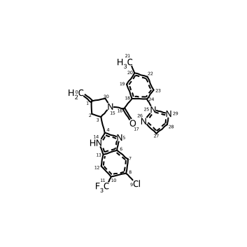 C=C1CC(c2nc3cc(Cl)c(C(F)(F)F)cc3[nH]2)N(C(=O)c2cc(C)ccc2-n2nccn2)C1